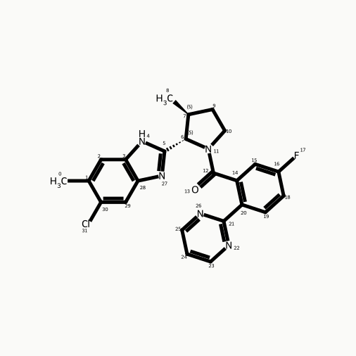 Cc1cc2[nH]c([C@@H]3[C@@H](C)CCN3C(=O)c3cc(F)ccc3-c3ncccn3)nc2cc1Cl